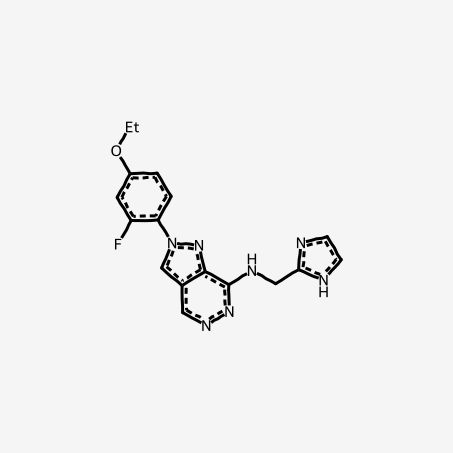 CCOc1ccc(-n2cc3cnnc(NCc4ncc[nH]4)c3n2)c(F)c1